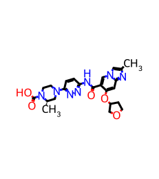 Cc1cn2cc(C(=O)Nc3ccc(N4CCN(C(=O)O)[C@@H](C)C4)nn3)c(OC3CCOC3)cc2n1